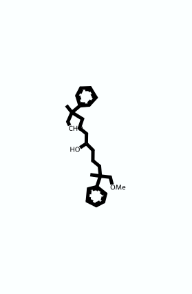 COCC(C)(CCCC(O)CCCC(C)(CC=O)c1ccccc1)c1ccccc1